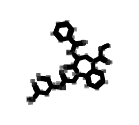 COC(=O)N1CC(NC(=O)c2ccccc2)C(=O)N(CC(=O)N[C@H](C=O)CC(=O)O)c2ccccc21